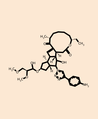 CC[C@H]1CCCC[C@@H](C)C(=O)C2=CC3[C@@H](C(O)C(n4cc(-c5ccc(N)cc5)nn4)[C@@H]4C[C@@H](OC(O)[C@H](COC)OC)C[C@@H]34)[C@@H]2CC(=O)O1